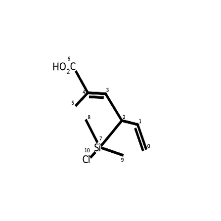 C=CC(C=C(C)C(=O)O)[Si](C)(C)Cl